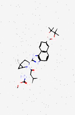 COC(=O)N[C@H](C(=O)N1C2C[C@@H]2C[C@H]1c1nc2ccc3cc(B4OC(C)(C)C(C)(C)O4)ccc3c2[nH]1)C(C)C